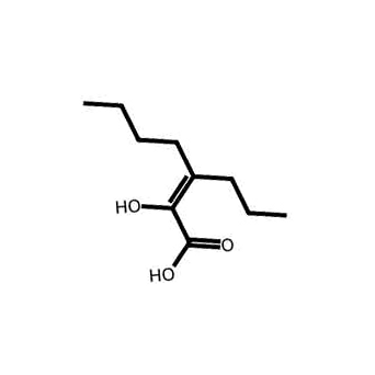 CCCCC(CCC)=C(O)C(=O)O